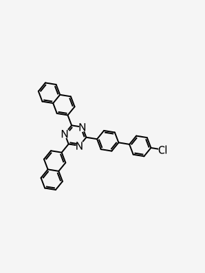 Clc1ccc(-c2ccc(-c3nc(-c4ccc5ccccc5c4)nc(-c4ccc5ccccc5c4)n3)cc2)cc1